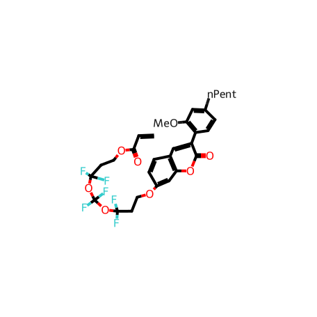 C=CC(=O)OCCC(F)(F)OC(F)(F)OC(F)(F)CCOc1ccc2cc(-c3ccc(CCCCC)cc3OC)c(=O)oc2c1